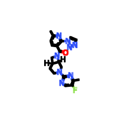 Cc1ccc(C(=O)N2C[C@H]3CCN(c4ncc(F)c(C)n4)C[C@H]32)c(-n2ccnn2)n1